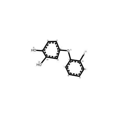 Oc1ccc(Oc2ccccc2I)cc1O